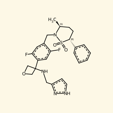 C[C@H]1CC[C@H](c2ccccc2)S(=O)(=O)N1Cc1cc(F)c(C2(NCc3cc[nH]n3)COC2)cc1F